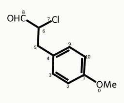 COc1ccc(CC(Cl)C=O)cc1